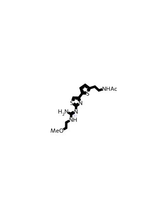 COCCN/C(N)=N/c1nc(-c2ccc(CCNC(C)=O)s2)cs1